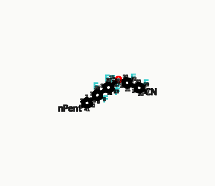 CCCCCc1ccc(-c2cc(F)c(-c3cc(F)c(C(F)(F)Oc4ccc(-c5ccc(C#N)c(F)c5)c(F)c4)c(F)c3)c(F)c2)cc1